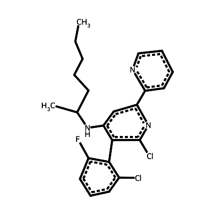 CCCCCC(C)Nc1cc(-c2ccccn2)nc(Cl)c1-c1c(F)cccc1Cl